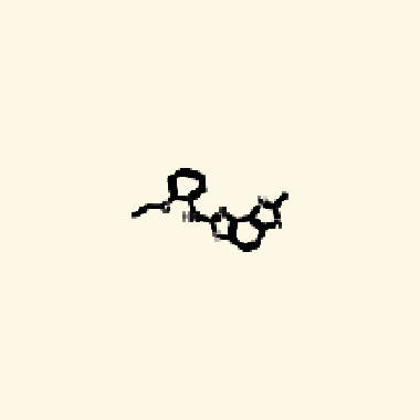 CCOc1ccccc1Nc1nc2c(ccc3sc(C)nc32)s1